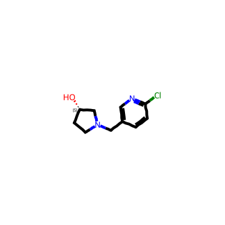 O[C@H]1CCN(Cc2ccc(Cl)nc2)C1